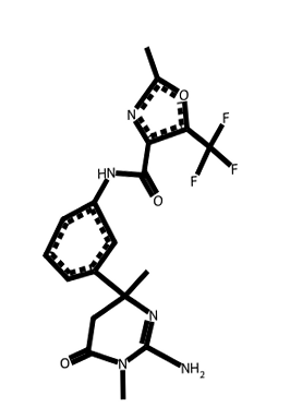 Cc1nc(C(=O)Nc2cccc(C3(C)CC(=O)N(C)C(N)=N3)c2)c(C(F)(F)F)o1